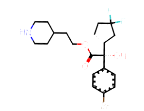 O=C(OCCC1CCNCC1)[C@](O)(c1ccc(Br)cc1)[C@@H]1CCC(F)(F)C1